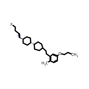 CCCOc1ccc(C)c(CCC2CCC([C@H]3CC[C@H](/C=C/CCF)CC3)CC2)c1